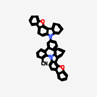 N#Cc1cccc(-c2cccc(-n3c4ccccc4c4c5oc6ccccc6c5ccc43)c2)c1-n1c2ccccc2c2c3oc4ccccc4c3ccc21